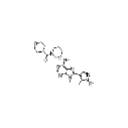 CCn1ncc(-c2nc3c(N[C@H]4CCCN(C(=O)C5CCOCC5)C4)ncnc3n2C)c1C